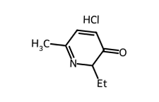 CCC1N=C(C)C=CC1=O.Cl